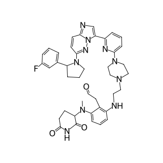 CN(c1cccc(NCCN2CCN(c3cccc(-c4cnc5ccc(N6CCCC6c6cccc(F)c6)nn45)n3)CC2)c1CC=O)C1CCC(=O)NC1=O